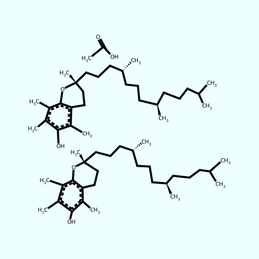 CC(=O)O.Cc1c(C)c2c(c(C)c1O)CC[C@@](C)(CCC[C@H](C)CCC[C@H](C)CCCC(C)C)O2.Cc1c(C)c2c(c(C)c1O)CC[C@@](C)(CCC[C@H](C)CCC[C@H](C)CCCC(C)C)O2